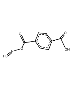 B=NOC(=O)c1ccc(C(=O)O)cc1